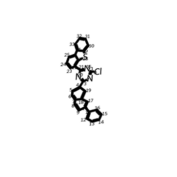 Clc1nc(-c2ccc3ccc(-c4ccccc4)cc3c2)nc(-c2cccc3c2sc2ccccc23)n1